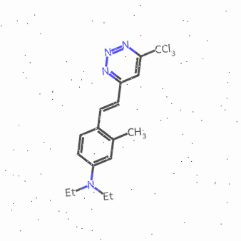 CCN(CC)c1ccc(C=Cc2cc(C(Cl)(Cl)Cl)nnn2)c(C)c1